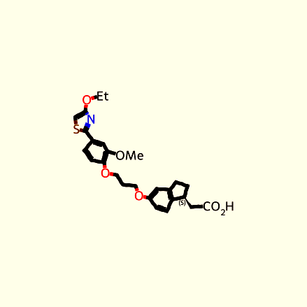 CCOc1csc(-c2ccc(OCCCOc3ccc4c(c3)CC[C@H]4CC(=O)O)c(OC)c2)n1